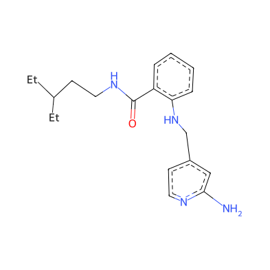 CCC(CC)CCNC(=O)c1ccccc1NCc1ccnc(N)c1